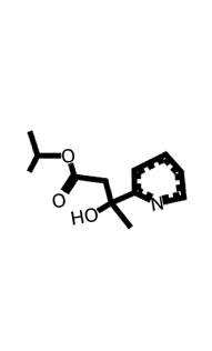 CC(C)OC(=O)CC(C)(O)c1ccccn1